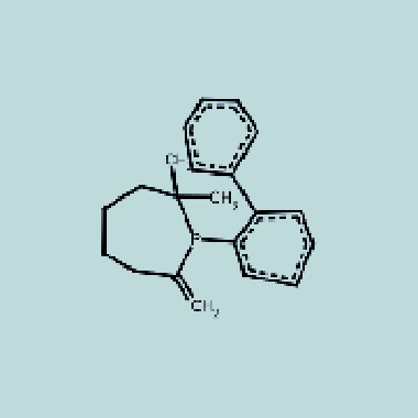 C=C1CCCCC(C)(C)P1c1ccccc1-c1ccccc1